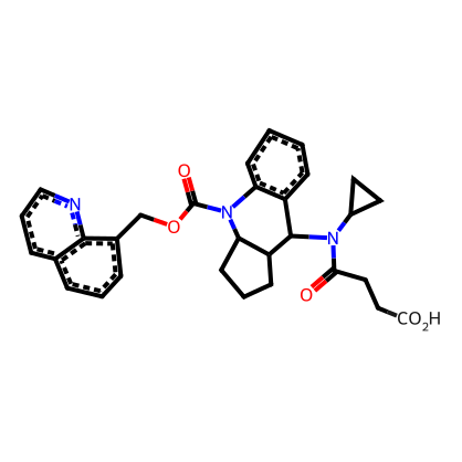 O=C(O)CCC(=O)N(C1CC1)C1c2ccccc2N(C(=O)OCc2cccc3cccnc23)C2CCCC21